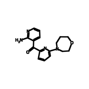 Nc1ncccc1C(=O)c1cccc(N2CCCOCC2)n1